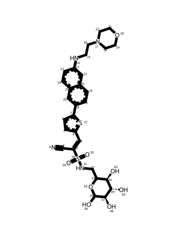 N#C/C(=C\c1ccc(-c2ccc3cc(NCCN4CCOCC4)ccc3c2)s1)S(=O)(=O)NCC1OC(O)[C@H](O)[C@@H](O)[C@@H]1O